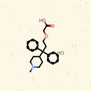 CN1CCC(C(CCOCC(=O)O)(c2ccccc2)c2ccccc2)CC1.Cl